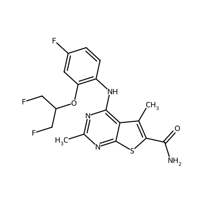 Cc1nc(Nc2ccc(F)cc2OC(CF)CF)c2c(C)c(C(N)=O)sc2n1